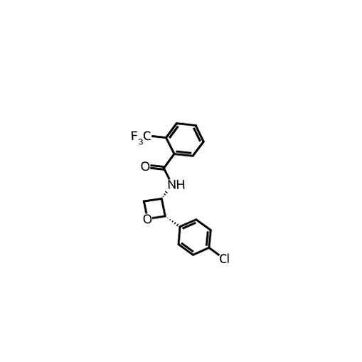 O=C(N[C@H]1CO[C@H]1c1ccc(Cl)cc1)c1ccccc1C(F)(F)F